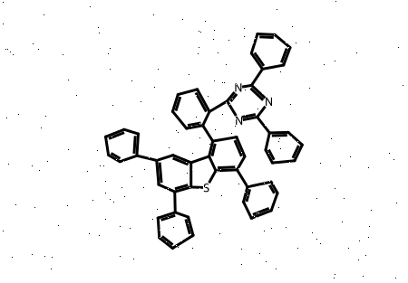 c1ccc(-c2cc(-c3ccccc3)c3sc4c(-c5ccccc5)ccc(-c5ccccc5-c5nc(-c6ccccc6)nc(-c6ccccc6)n5)c4c3c2)cc1